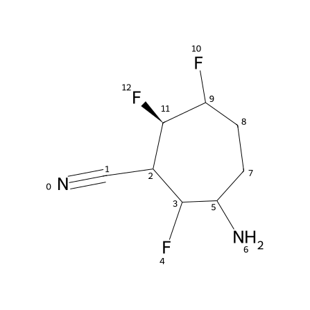 N#CC1C(F)C(N)CCC(F)[C@@H]1F